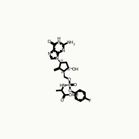 C=C1[C@H](CO[P@@](=O)(NC(C)C(=O)OC)Oc2ccc(F)cc2)[C@@H](O)C[C@@H]1n1cnc2c(=O)[nH]c(N)nc21